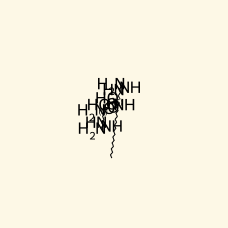 CCCCCCCCCCCCCCCCCC(=O)N[C@@H](CCCNC(=N)N)C(=O)O.N=C(N)NCCC[C@H](N)C(=O)O